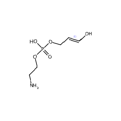 NCCOP(=O)(O)OC/C=C/O